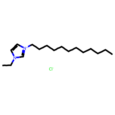 CCCCCCCCCCCC[n+]1ccn(CC)c1.[Cl-]